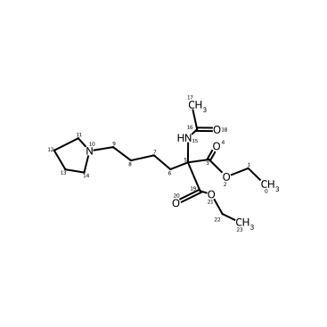 CCOC(=O)C(CCCCN1CCCC1)(NC(C)=O)C(=O)OCC